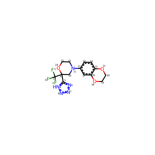 FC(F)(F)C1(c2nnn[nH]2)CN(c2ccc3c(c2)OCCO3)CCO1